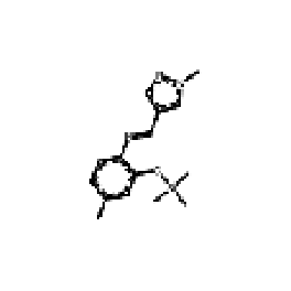 Cc1ccc(N=Cc2cnn(C)c2)c(O[Si](C)(C)C)c1